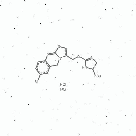 CCCCC1CN=C(SCC2=CSC3=Nc4ccc(Cl)cc4CN23)N1.Cl.Cl